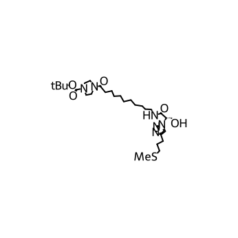 CSCCCc1cn([C@@H](CO)C(=O)NCCCCCCCCCCC(=O)N2CCN(C(=O)OC(C)(C)C)CC2)nn1